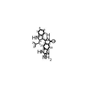 CC(C)CC1Nc2ccccc2C1C1NC(=O)c2cc3nc(N)[nH]c3cc21